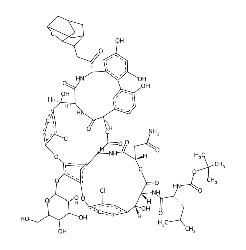 CC(C)C[C@@H](NC(=O)OC(C)(C)C)C(=O)N[C@H]1C(=O)C[C@@H](CC(N)=O)C(=O)N[C@H]2C(=O)C[C@H]3C(=O)N[C@H](C(=O)N[C@H](C(=O)CC4C5CC6CC(C5)CC4C6)c4cc(O)cc(O)c4-c4cc3ccc4O)[C@H](O)c3ccc(c(Cl)c3)Oc3cc2cc(c3OC2OC(CO)C(O)C(O)C2O)Oc2ccc(cc2Cl)[C@H]1O